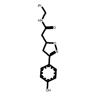 CC(C)CNC(=O)CC1CC(c2ccc(O)cc2)=NO1